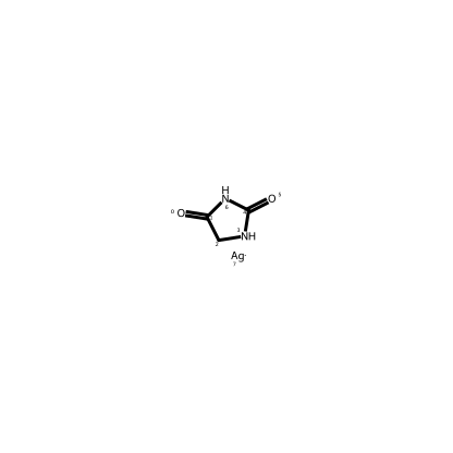 O=C1CNC(=O)N1.[Ag]